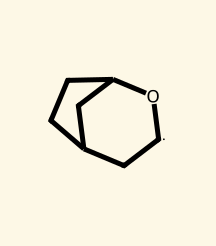 [CH]1CC2CCC(C2)O1